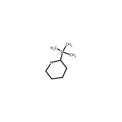 C[Si](C)(C)C1CCCC[N]1